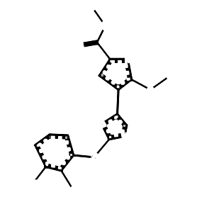 COC(=O)c1cc(-c2csc(Nc3cccc(Cl)c3C)n2)c(SC)s1